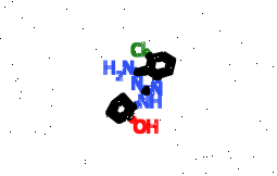 Nc1nc(Nc2ccccc2O)nc2cccc(Cl)c12